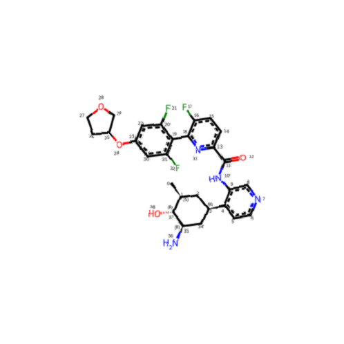 C[C@H]1C[C@@H](c2ccncc2NC(=O)c2ccc(F)c(-c3c(F)cc(OC4CCOC4)cc3F)n2)C[C@@H](N)[C@@H]1O